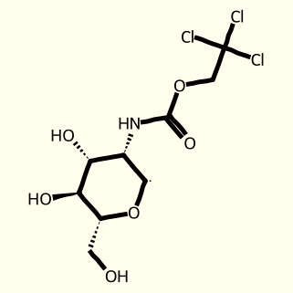 O=C(N[C@@H]1[CH]O[C@H](CO)[C@@H](O)[C@@H]1O)OCC(Cl)(Cl)Cl